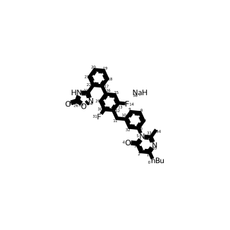 CCCCc1cc(=O)n(-c2cccc(Cc3c(F)cc(-c4ccccc4-c4noc(=O)[nH]4)cc3F)c2)c(C)n1.[NaH]